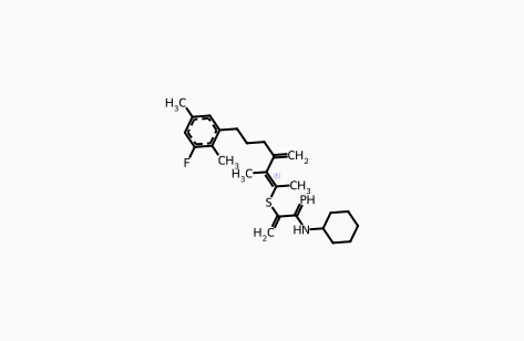 C=C(S/C(C)=C(\C)C(=C)CCCc1cc(C)cc(F)c1C)C(=P)NC1CCCCC1